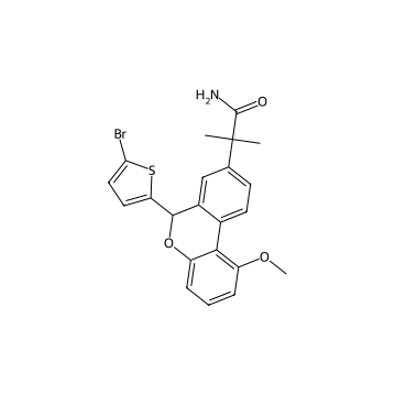 COc1cccc2c1-c1ccc(C(C)(C)C(N)=O)cc1C(c1ccc(Br)s1)O2